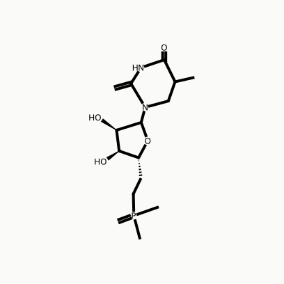 C=C1NC(=O)C(C)CN1C1O[C@H](CCP(=C)(C)C)[C@@H](O)[C@H]1O